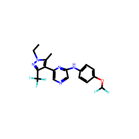 CCn1nc(C(F)(F)F)c(-c2cncc(Nc3ccc(OC(F)F)cc3)n2)c1C